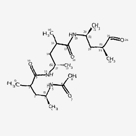 CC(C[C@H](C)NC(=O)O)C(=O)N[C@@H](C)CC(C)C(=O)N[C@@H](C)C[C@H](C)C=O